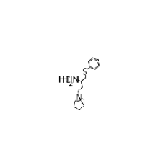 Cl.N[C@H](CCN1CC2CCC1C2)CSc1ccccc1